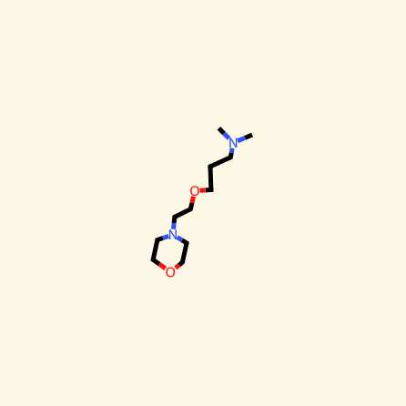 CN(C)CCCOCCN1CCOCC1